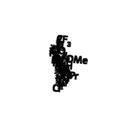 COC[C@@H]1COc2c(OCC(F)(F)F)ccnc2-c2nnc(NS(=O)(=O)[C@@H](C)[C@@H](OC(C)C)c3ncc(Cl)cn3)n21